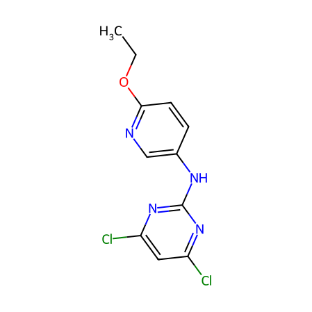 CCOc1ccc(Nc2nc(Cl)cc(Cl)n2)cn1